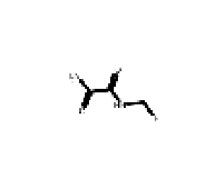 NC(=O)C(=O)NCF